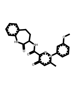 COc1cccc(-n2nc(C(=O)NC3CCc4ccccc4NC3=O)c(=O)cc2C)c1